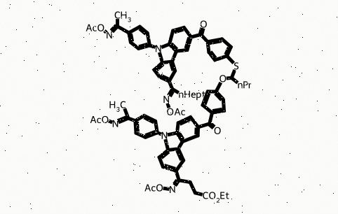 CCCCCCC/C(=N\OC(C)=O)c1ccc2c(c1)c1cc(C(=O)c3ccc(SC(CCC)Oc4ccc(C(=O)c5ccc6c(c5)c5cc(/C(CCC(=O)OCC)=N\OC(C)=O)ccc5n6-c5ccc(/C(C)=N/OC(C)=O)cc5)cc4)cc3)ccc1n2-c1ccc(/C(C)=N/OC(C)=O)cc1